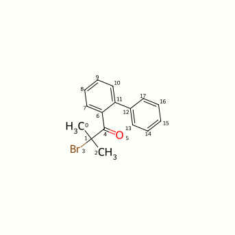 CC(C)(Br)C(=O)c1ccccc1-c1ccccc1